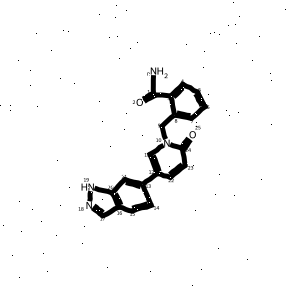 NC(=O)c1ccccc1Cn1cc(-c2ccc3cn[nH]c3c2)ccc1=O